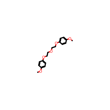 COc1ccc(OCCOCCOc2ccc(OC)cc2)cc1